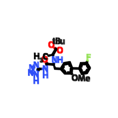 COc1cc(C[C@H](N[C@@H](C)C(=O)OC(C)(C)C)C(=O)Nc2nnn[nH]2)ccc1-c1cccc(F)c1